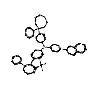 CC1(C)c2cc(N(c3ccc(-c4ccc5ccccc5c4)cc3)c3ccc(C4(c5ccccc5)CCCCCC4)cc3)ccc2-c2c(-c3ccccc3)cccc21